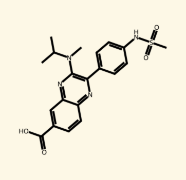 CC(C)N(C)c1nc2cc(C(=O)O)ccc2nc1-c1ccc(NS(C)(=O)=O)cc1